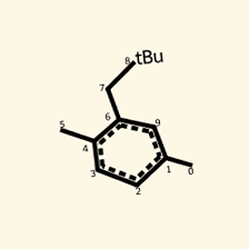 Cc1ccc(C)c(CC(C)(C)C)c1